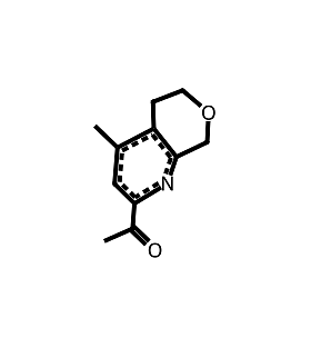 CC(=O)c1cc(C)c2c(n1)COCC2